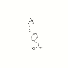 CCCOc1ccc(CC(=O)Cl)cc1